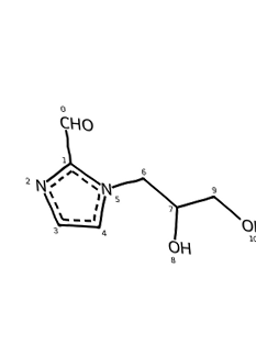 O=Cc1nccn1CC(O)CO